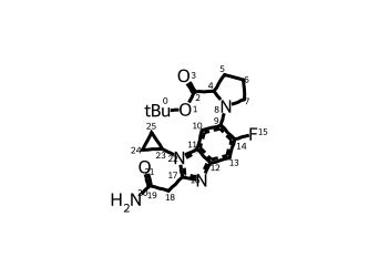 CC(C)(C)OC(=O)C1CCCN1c1cc2c(cc1F)nc(CC(N)=O)n2C1CC1